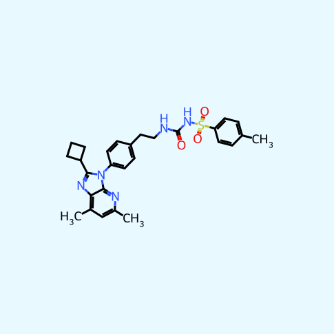 Cc1ccc(S(=O)(=O)NC(=O)NCCc2ccc(-n3c(C4CCC4)nc4c(C)cc(C)nc43)cc2)cc1